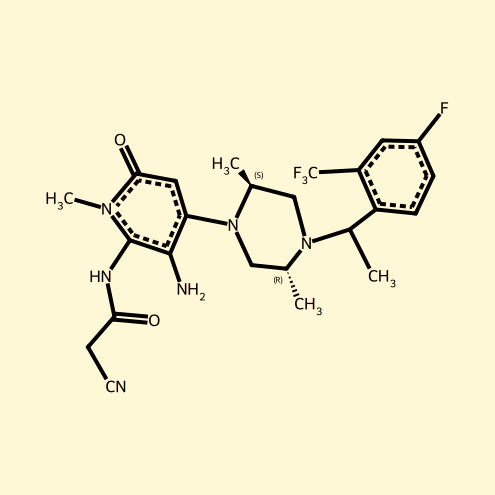 CC(c1ccc(F)cc1C(F)(F)F)N1C[C@H](C)N(c2cc(=O)n(C)c(NC(=O)CC#N)c2N)C[C@H]1C